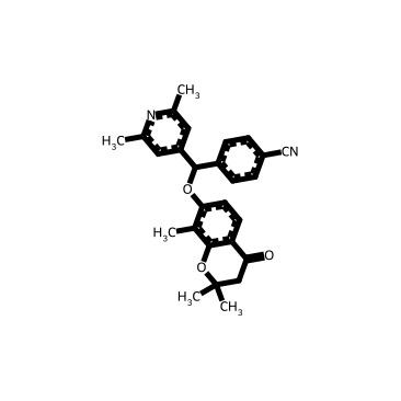 Cc1cc(C(Oc2ccc3c(c2C)OC(C)(C)CC3=O)c2ccc(C#N)cc2)cc(C)n1